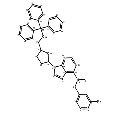 CN(Cc1cccc(F)c1)c1ncnc2c1ncn2C1CCC(COC(c2ccccc2)(c2ccccc2)c2ccccc2)O1